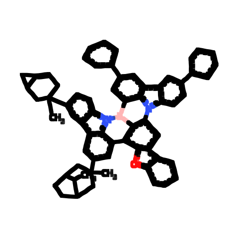 CC1C2CCC1CC(C)(c1cc3c4c(c1)c1cc(C5(C)CC=C6CC6C5)ccc1n4B1c4c(cc5c(oc6ccccc65)c4-3)-n3c4ccc(-c5ccccc5)cc4c4cc(-c5ccccc5)cc1c43)C2